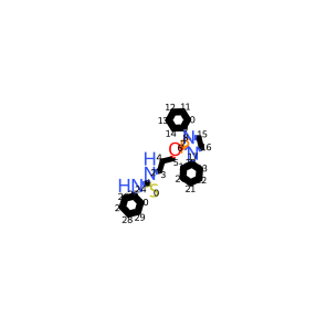 S=C(NCCCOP1N(c2ccccc2)CCN1c1ccccc1)Nc1ccccc1